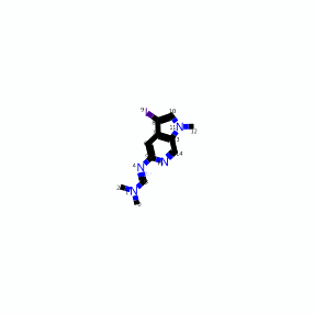 CN(C)/C=N/c1cc2c(I)cn(C)c2cn1